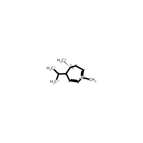 CC(C)C1C=C[N+](C)=CC[C@H]1C